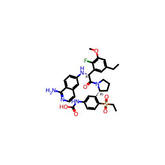 CCc1cc(OC)c(F)c([C@@H](Nc2ccc3c(N)nccc3c2)C(=O)N2CCC[C@@H]2c2cc(NC(=O)O)ccc2S(=O)(=O)CC)c1